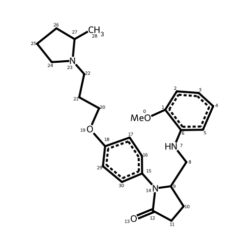 COc1ccccc1NCC1CCC(=O)N1c1ccc(OCCCN2CCCC2C)cc1